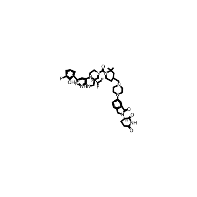 CC1(C)CC(CN2CCN(c3ccc4c(c3)C(=O)N([C@H]3CCC(=O)NC3=O)C4)CC2)CCN1C(=O)N1CCN2c3cc(-c4cccc(F)c4O)nnc3NC[C@@]2(C(F)F)C1